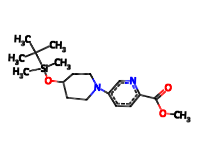 COC(=O)c1ccc(N2CCC(O[Si](C)(C)C(C)(C)C)CC2)cn1